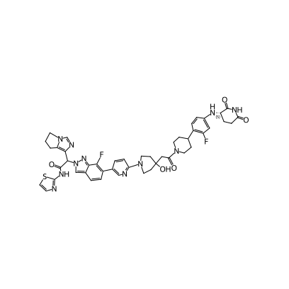 O=C1CC[C@H](Nc2ccc(C3CCN(C(=O)CC4(O)CCN(c5ccc(-c6ccc7cn(C(C(=O)Nc8nccs8)c8ncn9c8CCC9)nc7c6F)cn5)CC4)CC3)c(F)c2)C(=O)N1